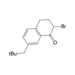 CC(C)(C)Cc1ccc2c(c1)C(=O)C(Br)CC2